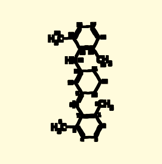 Cc1cccc(C)c1/N=C1/C=C(Nc2c(C)cccc2C)CCC1